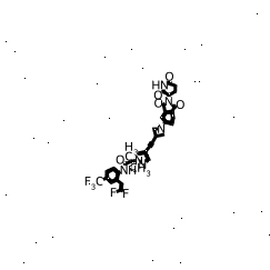 CC(C)(C(=O)Nc1ccc(C(F)(F)F)cc1C=C(F)F)n1cc(C#CC2CN(c3ccc4c(c3)C(=O)N(C3CCC(=O)NC3=O)C4=O)C2)cn1